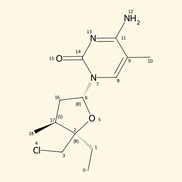 CC[C@@]1(CCl)O[C@@H](n2cc(C)c(N)nc2=O)C[C@@H]1C